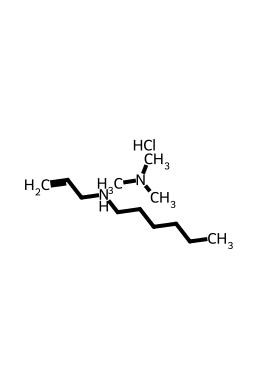 C=CCNCCCCCC.CN(C)C.Cl